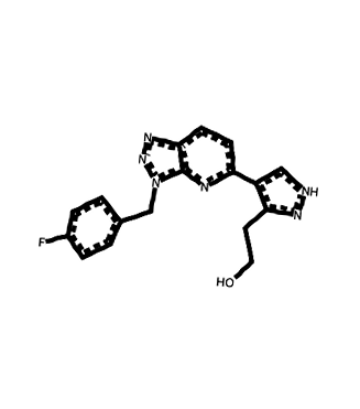 OCCc1n[nH]cc1-c1ccc2nnn(Cc3ccc(F)cc3)c2n1